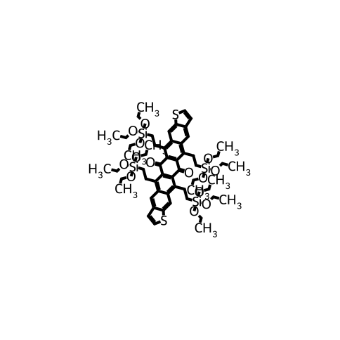 CCO[Si](CCc1c2c(c(CC[Si](OCC)(OCC)OCC)c3cc4sccc4cc13)C(=O)c1c(c(CC[Si](OCC)(OCC)OCC)c3cc4sccc4cc3c1CC[Si](OCC)(OCC)OCC)C2=O)(OCC)OCC